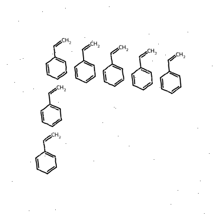 C=Cc1ccccc1.C=Cc1ccccc1.C=Cc1ccccc1.C=Cc1ccccc1.C=Cc1ccccc1.C=Cc1ccccc1.C=Cc1ccccc1